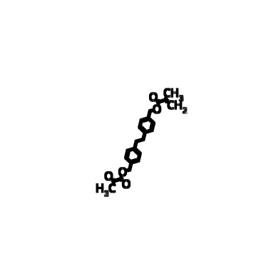 C=C(C)C(=O)OCc1ccc(CCc2ccc(COC(=O)C(C)=O)cc2)cc1